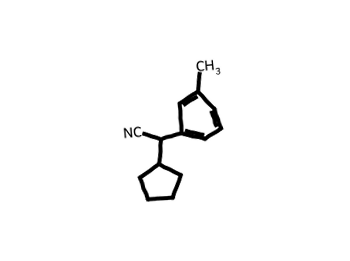 Cc1cccc(C(C#N)C2CCCC2)c1